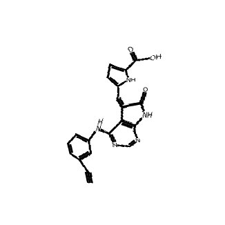 C#Cc1cccc(Nc2ncnc3c2C(=Cc2ccc(C(=O)O)[nH]2)C(=O)N3)c1